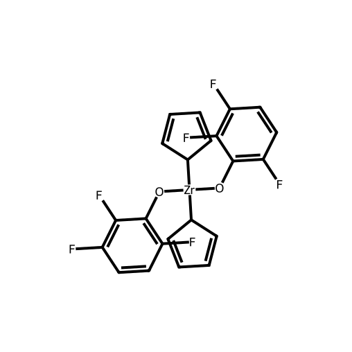 Fc1ccc(F)c([O][Zr]([O]c2c(F)ccc(F)c2F)([CH]2C=CC=C2)[CH]2C=CC=C2)c1F